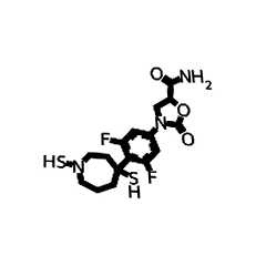 NC(=O)C1CN(c2cc(F)c(C3(S)CCCN(S)CC3)c(F)c2)C(=O)O1